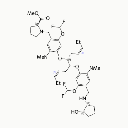 CC/C=C\CC(Oc1cc(OC(F)F)c(CN[C@@H]2CCC[C@@H]2O)cc1NC)[C@@H](C/C=C\CC)Oc1cc(OC(F)F)c(CN2CCC[C@H]2C(=O)OC)cc1NC